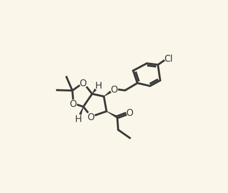 CCC(=O)[C@H]1O[C@@H]2OC(C)(C)O[C@@H]2[C@H]1OCc1ccc(Cl)cc1